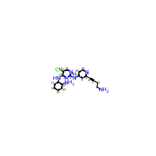 NCCC#Cc1cc(Nc2ncc(Cl)c(Nc3ccccc3N)n2)ccn1